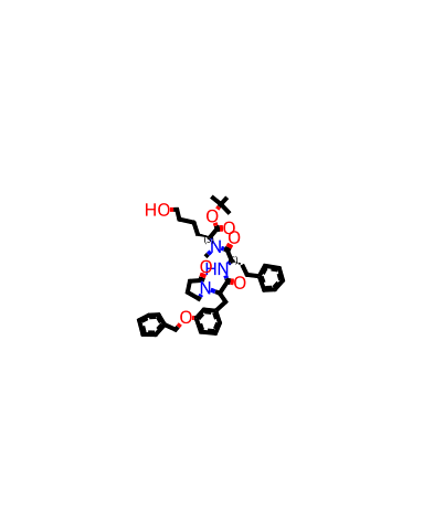 CN(C(=O)[C@H](CCc1ccccc1)NC(=O)C(Cc1cccc(OCc2ccccc2)c1)N1CCCC1=O)[C@@H](CCCCO)C(=O)OC(C)(C)C